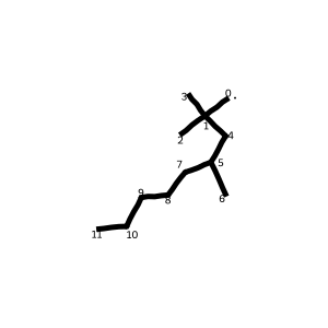 [CH2]C(C)(C)CC(C)CCCCC